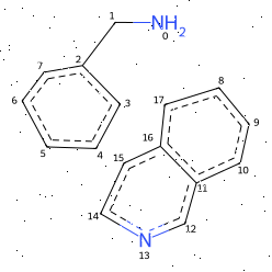 NCc1ccccc1.c1ccc2cnccc2c1